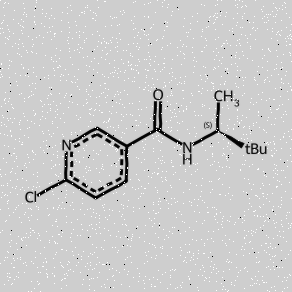 C[C@H](NC(=O)c1ccc(Cl)nc1)C(C)(C)C